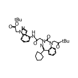 CC(C)(C)OC(=O)Cn1ncc2c(NC(=O)CN3N=C(C4CCCCC4)c4ccccc4N(CC(=O)C(C)(C)C)C3=O)cccc21